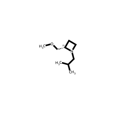 COC[C@@H]1CCN1CC(C)C